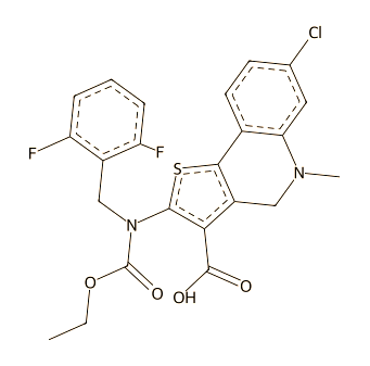 CCOC(=O)N(Cc1c(F)cccc1F)c1sc2c(c1C(=O)O)CN(C)c1cc(Cl)ccc1-2